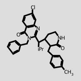 Cc1ccc(CC2C(=O)NCCC2C(c2nc3cc(Cl)ccc3c(=O)n2Cc2ccccc2)C(C)C)cc1